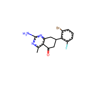 Cc1nc(N)nc2c1C(=O)CC(c1c(F)cccc1Br)C2